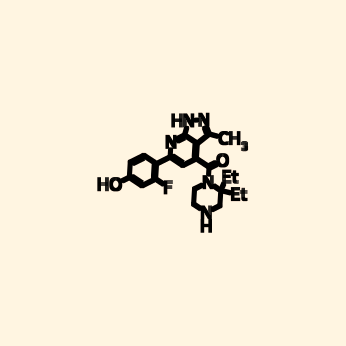 CCC1(CC)CNCCN1C(=O)c1cc(-c2ccc(O)cc2F)nc2[nH]nc(C)c12